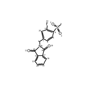 CS(=O)(=O)c1ccc(CN2C(=O)c3ccccc3C2=O)cc1F